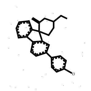 C=C1CC(CC)CCC12c1ccccc1-c1ccc(-c3ccc(Cl)cc3)cc12